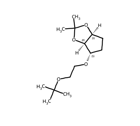 CC(C)(C)OCCO[C@H]1CC[C@@H]2OC(C)(C)O[C@H]12